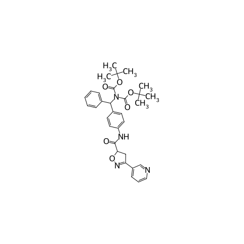 CC(C)(C)OC(=O)N(C(=O)OC(C)(C)C)C(c1ccccc1)c1ccc(NC(=O)C2CC(c3cccnc3)=NO2)cc1